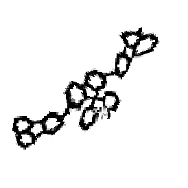 C1=CNC(C2(c3ccccn3)c3cc(-c4ccc5c(c4)-c4cccc6cccc-5c46)ccc3-c3ccc(-c4ccc5c(c4)-c4cccc6cccc-5c46)cc32)C=C1